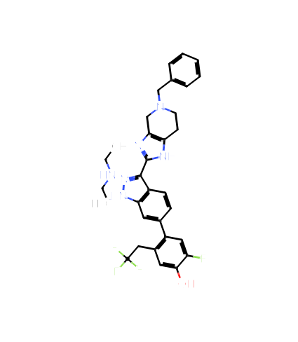 CCNCC.Oc1cc(CC(F)(F)F)c(-c2ccc3c(-c4nc5c([nH]4)CCN(Cc4ccccc4)C5)n[nH]c3c2)cc1F